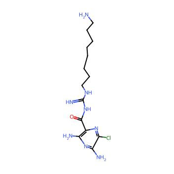 N=C(NCCCCCCCCN)NC(=O)c1nc(Cl)c(N)nc1N